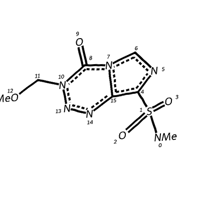 CNS(=O)(=O)c1ncn2c(=O)n(COC)nnc12